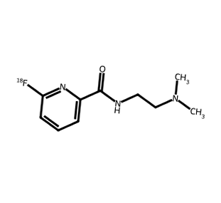 CN(C)CCNC(=O)c1cccc([18F])n1